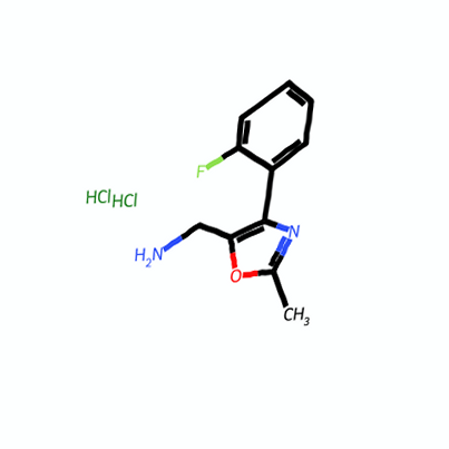 Cc1nc(-c2ccccc2F)c(CN)o1.Cl.Cl